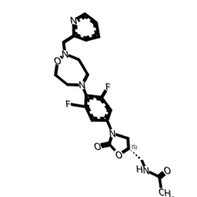 CC(=O)NC[C@H]1CN(c2cc(F)c(N3CCON(Cc4ccccn4)CC3)c(F)c2)C(=O)O1